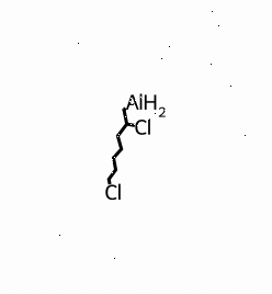 [AlH2][CH2]C(Cl)CCCCCCl